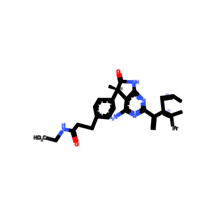 C=C(C(/C=C\C)=C(/C)C(C)C)c1nc(N)c2c(n1)NC(=O)[C@@]2(C)c1ccc(CCC(=O)NCC(=O)O)cc1